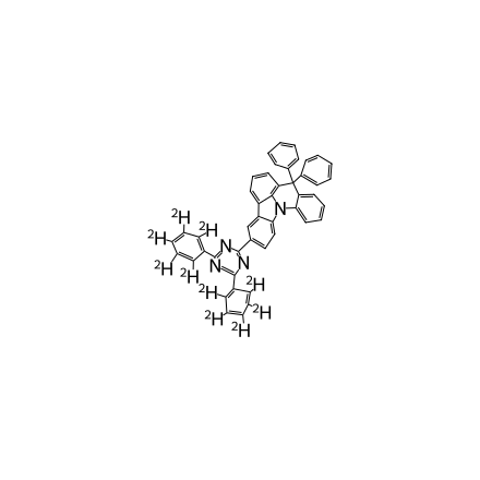 [2H]c1c([2H])c([2H])c(-c2nc(-c3ccc4c(c3)c3cccc5c3n4-c3ccccc3C5(c3ccccc3)c3ccccc3)nc(-c3c([2H])c([2H])c([2H])c([2H])c3[2H])n2)c([2H])c1[2H]